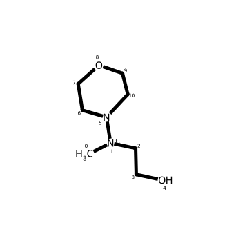 C[N+](CCO)N1CCOCC1